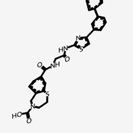 O=C(CNC(=O)c1ccc2c(c1)SCCN(C(=O)O)C2)Nc1nc(-c2cccc(-c3ccncc3)c2)cs1